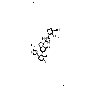 Cc1c(-c2cnc([C@H]3C[C@H](C)c4cc(-c5c(-n6cnnn6)ccc(Cl)c5F)cc(=O)n43)[nH]2)ccnc1C#N